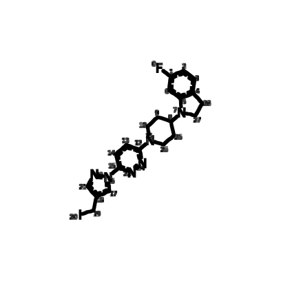 Fc1ccc2c(c1)N(C1CCN(c3ccc(-n4cc(CI)cn4)nn3)CC1)CC2